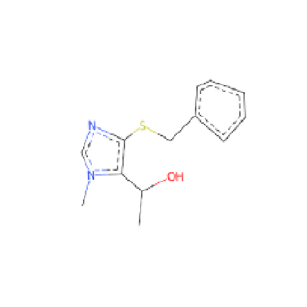 CC(O)c1c(SCc2ccccc2)ncn1C